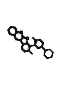 Cc1ccc2c(oc3nc4ccccc4cc32)c1-c1cc(C2CCCCC2)cc[n+]1C